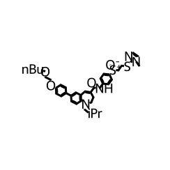 CCCCOCCOc1ccc(-c2ccc3c(c2)C=C(C(=O)Nc2ccc([S+]([O-])CCSc4nccn4C)cc2)CCN3CC(C)C)cc1